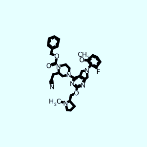 COc1cccc(F)c1N1Cc2nc(OCC3CCCN3C)nc(N3CCN(C(=O)OCc4ccccc4)C(CC#N)C3)c2C1